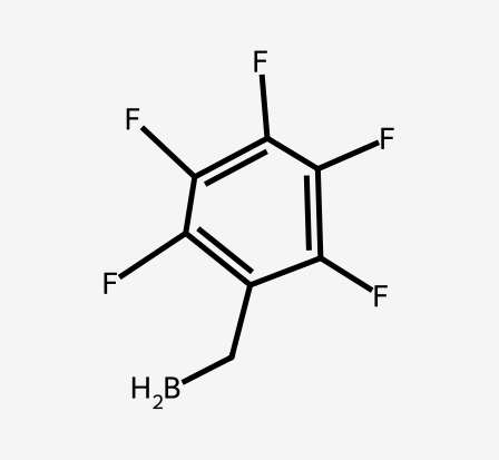 BCc1c(F)c(F)c(F)c(F)c1F